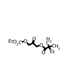 CCOC(=O)OCC(=O)COC(=O)C(C)(C)CC